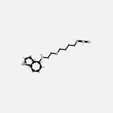 S=C=NCCCCSCCOc1cccc2[nH]ccc12